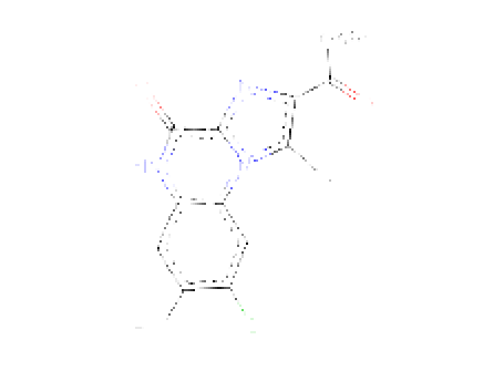 CCc1c(C(=O)OC)nc2c(=O)[nH]c3cc(C(F)(F)F)c(Cl)cc3n12